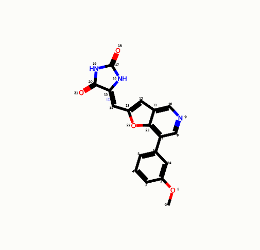 COc1cccc(-c2cncc3cc(/C=C4\NC(=O)NC4=O)oc23)c1